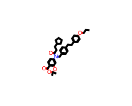 CCCOc1ccc(CCc2ccc(CN(C(=O)CCC3CCCC3)c3ccc4c(c3)OC(C)(C)OC4=O)cc2)cc1